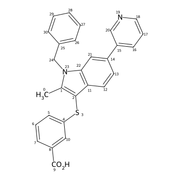 Cc1c(Sc2cccc(C(=O)O)c2)c2ccc(-c3cccnc3)cc2n1Cc1ccccc1